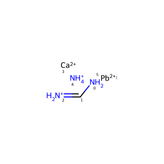 NC=[NH2+].[Ca+2].[NH4+].[Pb+2]